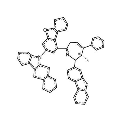 C[C@H]1C(c2ccccc2)=CCC(c2cc(-n3c4ccccc4c4cc5ccccc5cc43)cc3oc4ccccc4c23)=NC1c1ccc2c(c1)sc1ccccc12